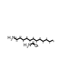 CCCCCCCCCCCCN.NC=O